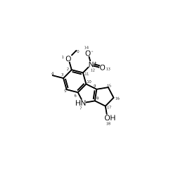 COc1c(C)cc2[nH]c3c(c2c1[N+](=O)[O-])CCC3O